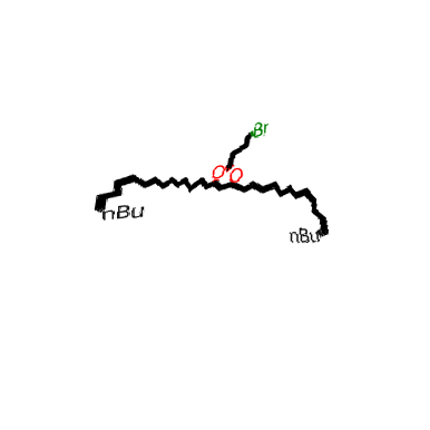 CCCC/C=C\C/C=C\CCCCCCCCCC(CCCCCCCCC/C=C\C/C=C\CCCC)OC(=O)CCCBr